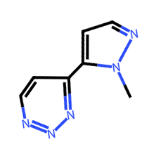 Cn1nccc1-c1ccnnn1